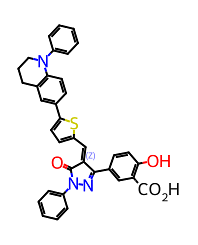 O=C(O)c1cc(C2=NN(c3ccccc3)C(=O)/C2=C\c2ccc(-c3ccc4c(c3)CCCN4c3ccccc3)s2)ccc1O